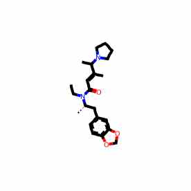 CCN(C(=O)/C=C(\C)C(C)N1CCCC1)[C@@H](C)Cc1ccc2c(c1)OCO2